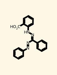 O=C(O)c1ccccc1N/N=C(\N=N\c1ccccc1)c1ccccc1